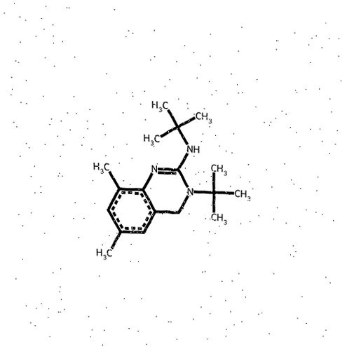 Cc1cc(C)c2c(c1)CN(C(C)(C)C)C(NC(C)(C)C)=N2